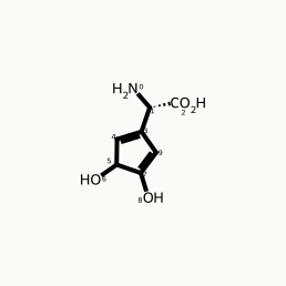 N[C@H](C(=O)O)C1=CC(O)C(O)=C1